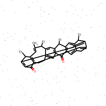 CCC1C2=C3CCc4cc5c(cc4C(CC)/C(C)=C/2)C(CC)c2cc4c(cc2C5=O)Cc2cc(c1cc2C4CC)C3=O